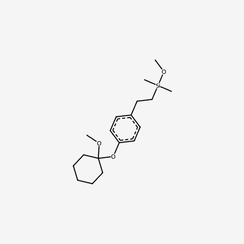 COC1(Oc2ccc(CC[Si](C)(C)OC)cc2)CCCCC1